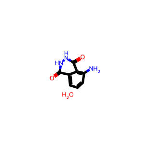 Nc1cccc2c(=O)[nH][nH]c(=O)c12.O